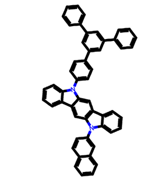 c1ccc(-c2cc(-c3ccccc3)cc(-c3ccc(-n4c5ccccc5c5cc6c(cc54)c4ccccc4n6-c4ccc5ccccc5c4)cc3)c2)cc1